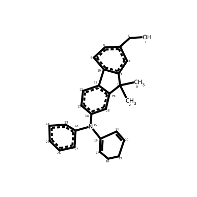 CC1(C)c2cc(CO)ccc2-c2ccc(N(C3=CCCC=C3)c3ccccc3)cc21